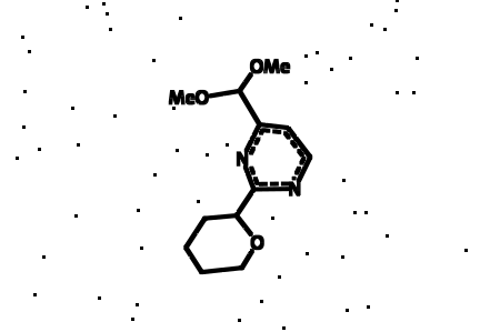 COC(OC)c1ccnc(C2CCCCO2)n1